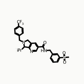 CC(C)C1c2ncc(C(=O)NCc3cccc(S(C)(=O)=O)c3)cc2CN1Cc1ccc(C(F)(F)F)cc1